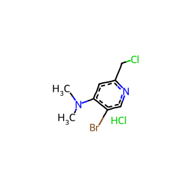 CN(C)c1cc(CCl)ncc1Br.Cl